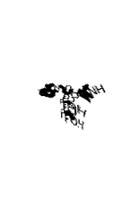 O=C(O)C(F)(F)F.O=C(O)C(F)(F)F.O=c1cc(CN2CCc3ccccc3C2)occ1OC1CC2(CCNC2)C1